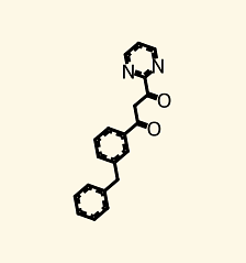 O=C(CC(=O)c1ncccn1)c1cccc(Cc2ccccc2)c1